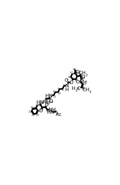 COC1C(OC(=O)NCCCCCCNC(=O)CNN[C@@H](Cc2ccccc2)C(=O)C(=O)CNNCC(C)=O)CC[C@]2(CO2)C1C1(C)O[C@@H]1CC=C(C)C